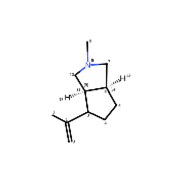 C=C(C)C1CC[C@@H]2CN(C)C[C@H]12